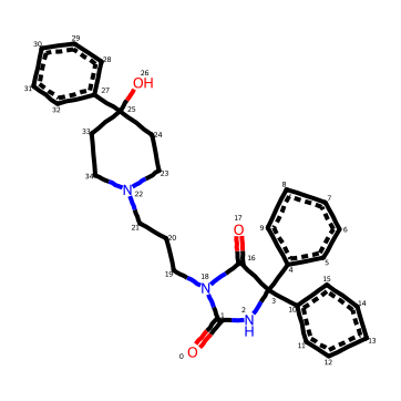 O=C1NC(c2ccccc2)(c2ccccc2)C(=O)N1CCCN1CCC(O)(c2ccccc2)CC1